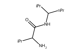 CCCC(NC(=O)C(N)C(C)C)C(C)C